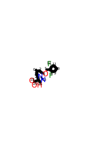 Cc1cc(OCc2c(F)cccc2F)n2ncc(C(=O)O)c2c1